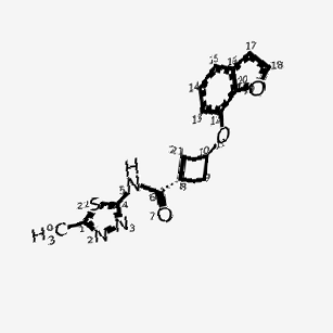 Cc1nnc(NC(=O)[C@H]2C[C@H](Oc3cccc4ccoc34)C2)s1